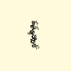 CCN(CC)c1ccc2cc(/C=C/C(=C/C=C(\C)S(=O)OC)NC)c(=O)oc2c1